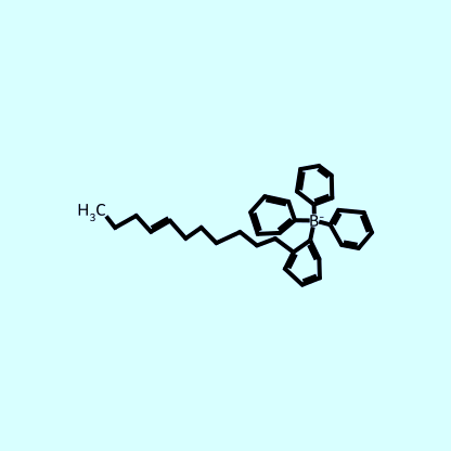 CCCC=CCCCCCCc1ccccc1[B-](c1ccccc1)(c1ccccc1)c1ccccc1